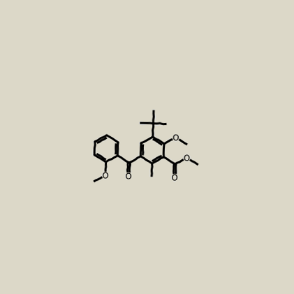 COC(=O)c1c(C)c(C(=O)c2ccccc2OC)cc(C(C)(C)C)c1OC